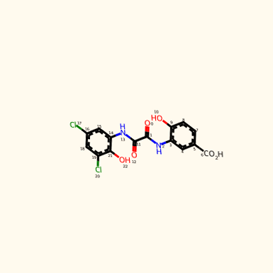 O=C(Nc1cc(C(=O)O)ccc1O)C(=O)Nc1cc(Cl)cc(Cl)c1O